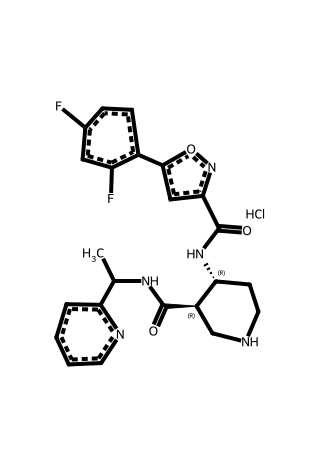 CC(NC(=O)[C@@H]1CNCC[C@H]1NC(=O)c1cc(-c2ccc(F)cc2F)on1)c1ccccn1.Cl